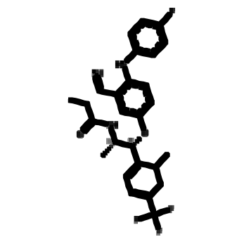 CCC(=O)N[C@@H](C)[C@H](Oc1ccc(Nc2ccc(F)cc2)c(C=N)c1)C1=CC=C(C(F)(F)F)CC1C